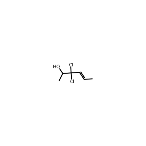 CC=CC(Cl)(Cl)C(C)O